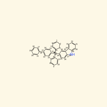 C1=CCCC([Si@@](c2ccccc2)(c2ccc(-c3ccccc3)cc2)c2ccc3[nH]c4ccccc4c3c2)=C1